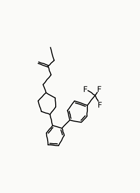 C=C(CC)CCC1CCC(c2ccccc2-c2ccc(C(F)(F)F)cc2)CC1